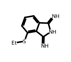 CCSc1cccc2c1C(=N)NC2=N